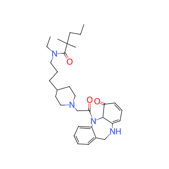 CCCC(C)(C)C(=O)N(CC)CCCC1CCN(CC(=O)N2c3ccccc3CNC3=CC=CC(=O)C32)CC1